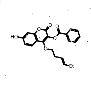 CCC=CCCOc1c(OC(=O)c2ccccc2)c(=O)oc2cc(O)ccc12